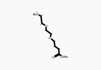 COC(=O)CCCOCCOCCOCC(C)C